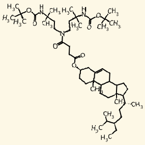 CC[C@H](CC[C@@H](C)C1CCC2C3CC=C4CC(OC(=O)CCC(=O)N(CCC(C)(C)NC(=O)OC(C)(C)C)CCC(C)(C)NC(=O)OC(C)(C)C)CCC4(C)C3CCC21C)C(C)C